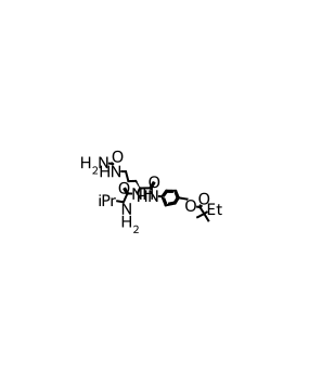 CCC(C)(C)C(=O)OCc1ccc(NC(=O)[C@H](CCCNC(N)=O)NC(=O)C(N)C(C)C)cc1